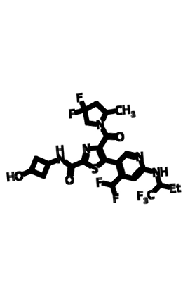 CCC(Nc1cc(C(F)F)c(-c2sc(C(=O)NC3CC(O)C3)nc2C(=O)N2CC(F)(F)CC2C)cn1)C(F)(F)F